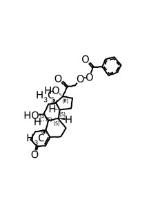 C[C@]12CCC(=O)C=C1CC[C@@H]1[C@@H]2[C@@H](O)C[C@@]2(C)[C@H]1CC[C@]2(O)C(=O)COOC(=O)c1ccccc1